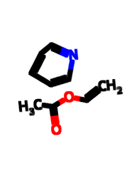 C=COC(C)=O.c1ccncc1